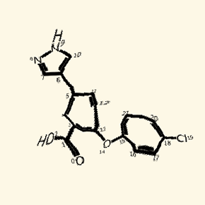 O=C(O)c1cc(-c2cn[nH]c2)ccc1Oc1ccc(Cl)cc1